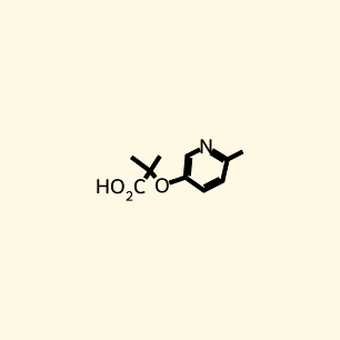 Cc1ccc(OC(C)(C)C(=O)O)cn1